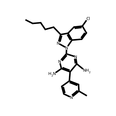 CCCCCc1nn(-c2nc(N)c(-c3ccnc(C)c3)c(N)n2)c2ccc(Cl)cc12